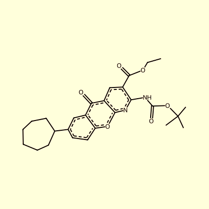 CCOC(=O)c1cc2c(=O)c3cc(C4CCCCCC4)ccc3oc2nc1NC(=O)OC(C)(C)C